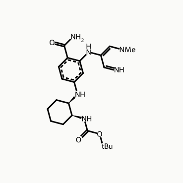 CN/C=C(\C=N)Nc1cc(N[C@@H]2CCCC[C@@H]2NC(=O)OC(C)(C)C)ccc1C(N)=O